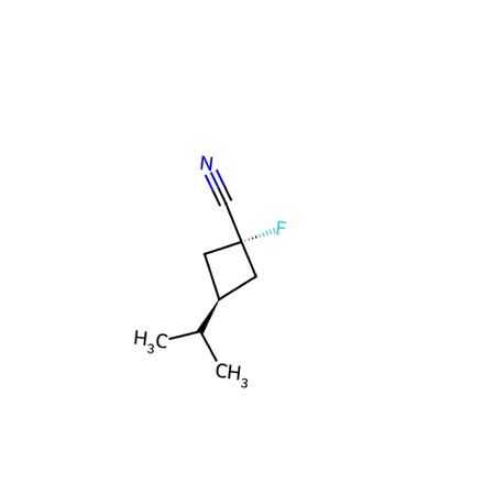 CC(C)[C@H]1C[C@@](F)(C#N)C1